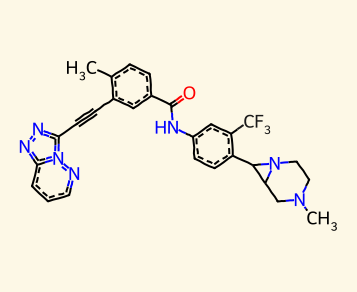 Cc1ccc(C(=O)Nc2ccc(C3C4CN(C)CCN43)c(C(F)(F)F)c2)cc1C#Cc1nnc2cccnn12